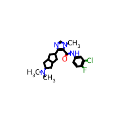 CN(C)C1CC2CC(c3ncn(C)c3C(=O)Nc3ccc(F)c(Cl)c3)CC2C1